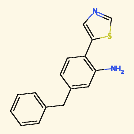 Nc1cc(Cc2ccccc2)ccc1-c1cncs1